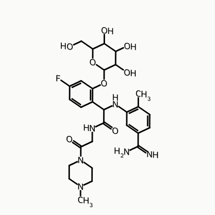 Cc1ccc(C(=N)N)cc1NC(C(=O)NCC(=O)N1CCN(C)CC1)c1ccc(F)cc1OC1OC(CO)C(O)C(O)C1O